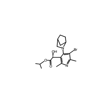 Cc1nc(C)c([C@H](O)C(=O)OC(C)C)c(N2CC3CCC2C3)c1Br